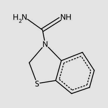 N=C(N)N1CSc2ccccc21